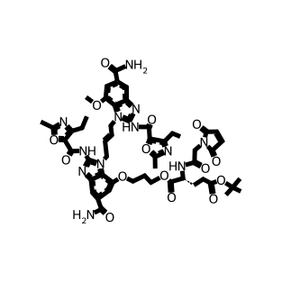 CCc1nc(C)oc1C(=O)Nc1nc2cc(C(N)=O)cc(OC)c2n1C/C=C/Cn1c(NC(=O)c2oc(C)nc2CC)nc2cc(C(N)=O)cc(OCCCOC(=O)[C@@H](CCC(=O)OC(C)(C)C)NC(=O)CN3C(=O)C=CC3=O)c21